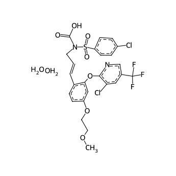 COCCOc1ccc(C=CCN(C(=O)O)S(=O)(=O)c2ccc(Cl)cc2)c(Oc2ncc(C(F)(F)F)cc2Cl)c1.O.O